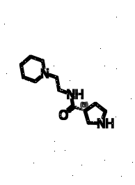 O=C(NCCN1CCCCC1)[C@@H]1CCNC1